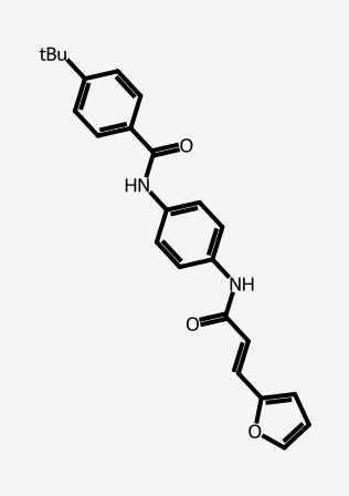 CC(C)(C)c1ccc(C(=O)Nc2ccc(NC(=O)C=Cc3ccco3)cc2)cc1